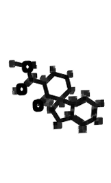 COC(=O)C1CCCC2(CCc3ccccc32)C1=O